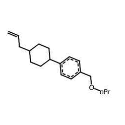 C=CCC1CCC(c2ccc(COCCC)cc2)CC1